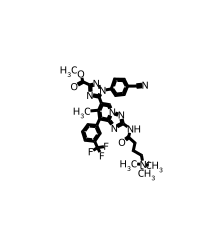 COC(=O)c1nc(-c2cn3nc(NC(=O)CCC[N+](C)(C)C)nc3c(-c3cccc(C(F)(F)F)c3)c2C)n(-c2ccc(C#N)cc2)n1